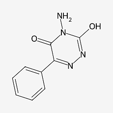 Nn1c(O)nnc(-c2ccccc2)c1=O